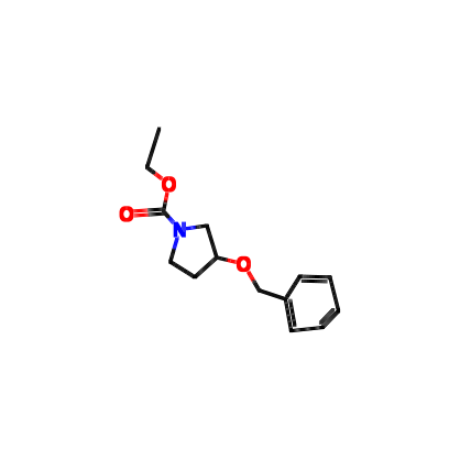 CCOC(=O)N1CCC(OCc2ccccc2)C1